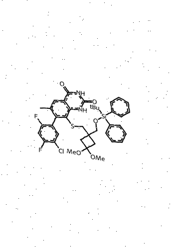 COC1(OC)CC(CO[Si](c2ccccc2)(c2ccccc2)C(C)(C)C)(CSc2c(-c3cc(Cl)c(F)cc3F)c(C)cc3c(=O)[nH]c(=O)[nH]c23)C1